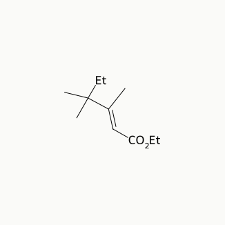 CCOC(=O)/C=C(\C)C(C)(C)CC